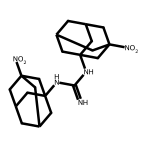 N=C(NC12CC3CC(C1)CC([N+](=O)[O-])(C3)C2)NC12CC3CC(C1)CC([N+](=O)[O-])(C3)C2